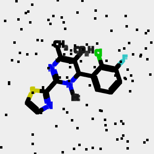 CCN1C(c2nccs2)=NC(C)=C(C(=O)O)C1c1cccc(F)c1Cl